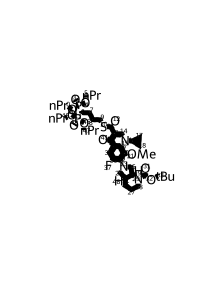 CCCOP(=O)(OCCC)C(CCCSC(=O)c1cn(C2CC2)c2c(OC)c(N3C[C@@H]4CCCN(C(=O)OC(C)(C)C)[C@@H]4C3)c(F)cc2c1=O)P(=O)(OCCC)OCCC